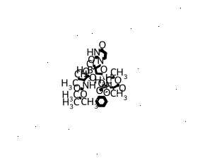 B[C@]1(Cl)[C@H](OC(=O)[C@@H](NC(=O)OC(C)(C)C)C(C)C)[C@@H](COP(=O)(N[C@@H](C)C(=O)OC(C)C)Oc2ccccc2)O[C@H]1n1ccc(=O)[nH]c1=O